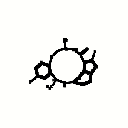 CC[C@@H]1COc2ncc(F)cc2[C@@H](C)Nc2ccn3nc(F)c(c3n2)C(=O)N1